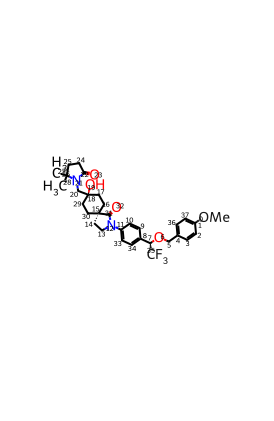 COc1ccc(CO[C@H](c2ccc(N3CC[C@]4(CC[C@@](O)(CN5C(=O)CCC5(C)C)CC4)C3=O)cc2)C(F)(F)F)cc1